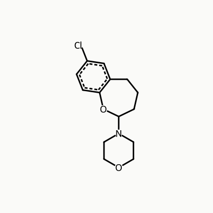 Clc1ccc2c(c1)CCCC(N1CCOCC1)O2